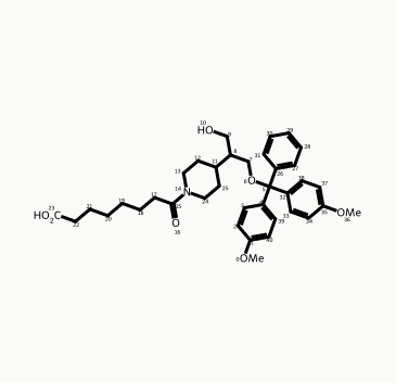 COc1ccc(C(OCC(CO)C2CCN(C(=O)CCCCCCC(=O)O)CC2)(c2ccccc2)c2ccc(OC)cc2)cc1